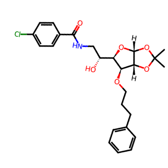 CC1(C)O[C@H]2O[C@H]([C@H](O)CNC(=O)c3ccc(Cl)cc3)[C@H](OCCCc3ccccc3)[C@H]2O1